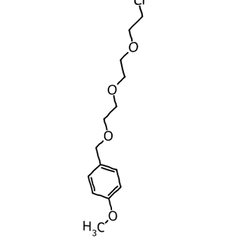 COc1ccc(COCCOCCOCCCl)cc1